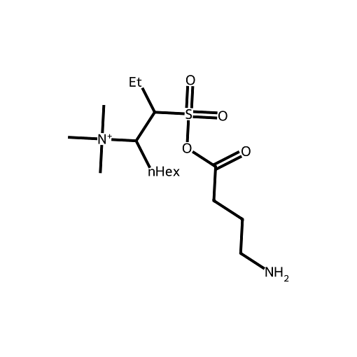 CCCCCCC(C(CC)S(=O)(=O)OC(=O)CCCN)[N+](C)(C)C